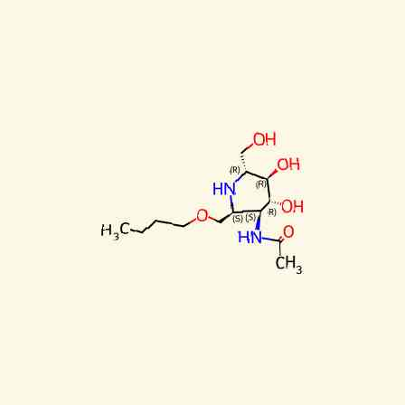 CCCCOC[C@H]1N[C@H](CO)[C@@H](O)[C@H](O)[C@H]1NC(C)=O